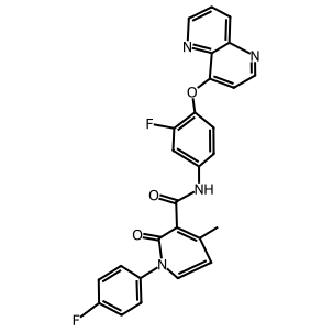 Cc1ccn(-c2ccc(F)cc2)c(=O)c1C(=O)Nc1ccc(Oc2ccnc3cccnc23)c(F)c1